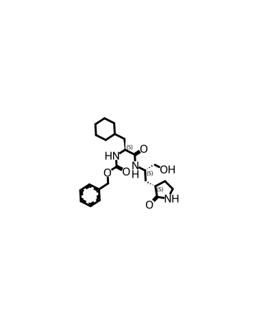 O=C(N[C@@H](CC1CCCCC1)C(=O)N[C@H](CO)C[C@@H]1CCNC1=O)OCc1ccccc1